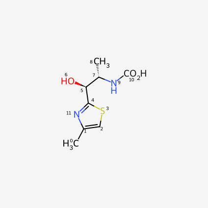 Cc1csc([C@@H](O)[C@H](C)NC(=O)O)n1